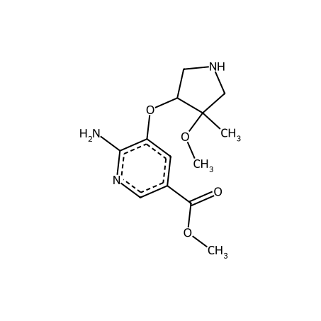 COC(=O)c1cnc(N)c(OC2CNCC2(C)OC)c1